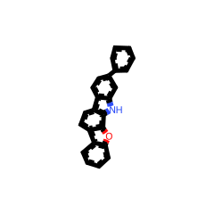 c1ccc(-c2ccc3c(c2)[nH]c2c3ccc3c4ccccc4oc32)cc1